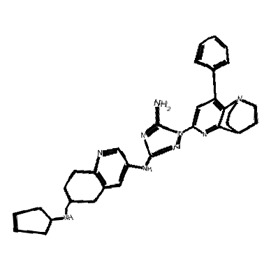 Nc1nc(Nc2cnc3c(c2)CC(NC2CCCC2)CC3)nn1-c1cc(-c2ccccc2)c2c(n1)C1CCN2CC1